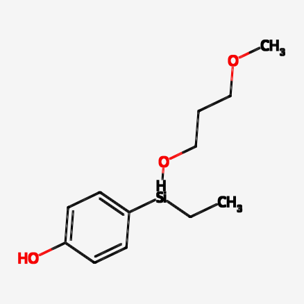 CC[SiH](OCCCOC)c1ccc(O)cc1